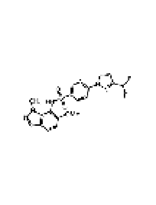 COc1ccc2cnn(C)c2c1NS(=O)(=O)c1ccc(-n2ccc(C(F)F)n2)nc1